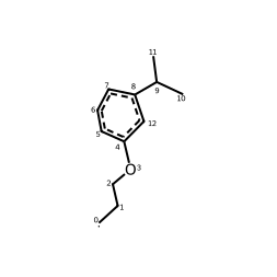 [CH2]CCOc1cccc(C(C)C)c1